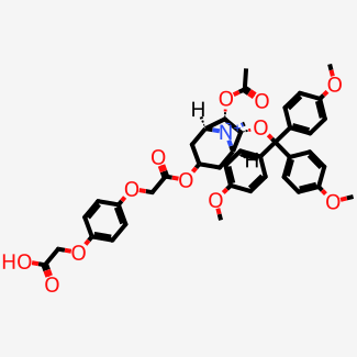 COc1ccc(C(O[C@H]2[C@@H](OC(C)=O)[C@@H]3CC(OC(=O)COc4ccc(OCC(=O)O)cc4)C[C@H]2[N+]3(C)C)(c2ccc(OC)cc2)c2ccc(OC)cc2)cc1